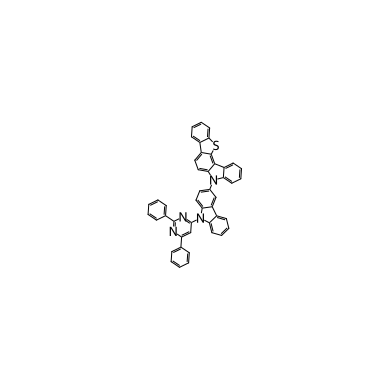 c1ccc(-c2cc(-n3c4ccccc4c4cc(-n5c6ccccc6c6c7sc8ccccc8c7ccc65)ccc43)nc(-c3ccccc3)n2)cc1